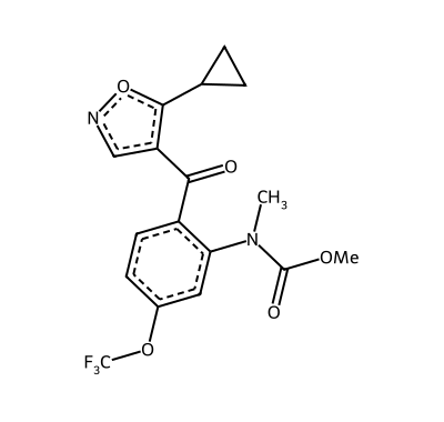 COC(=O)N(C)c1cc(OC(F)(F)F)ccc1C(=O)c1cnoc1C1CC1